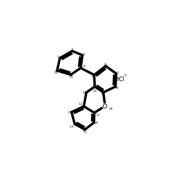 Cl.c1ccc(-c2cccc3c2Cc2ccccc2O3)cc1